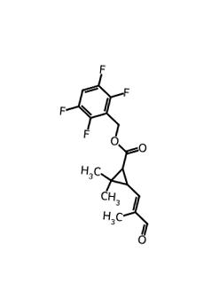 C/C(C=O)=C\C1C(C(=O)OCc2c(F)c(F)cc(F)c2F)C1(C)C